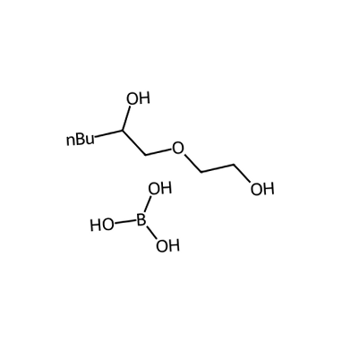 CCCCC(O)COCCO.OB(O)O